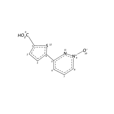 O=C(O)c1ccc(-c2ccc[n+]([O-])n2)s1